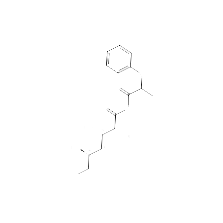 CC(Oc1ccccc1)C(=O)OC(=O)[C@H](O)[C@@H](O)[C@H](O)[C@H](O)CO